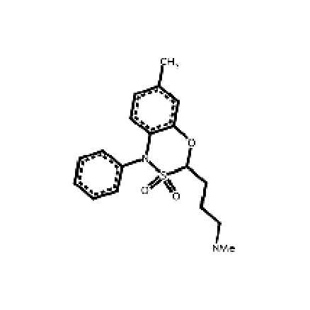 CNCCCC1Oc2cc(C)ccc2N(c2ccccc2)S1(=O)=O